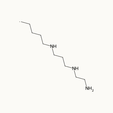 [CH2]CCCCNCCCNCCN